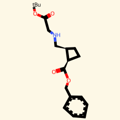 CC(C)(C)OC(=O)CNC[C@H]1CC[C@H]1C(=O)OCc1ccccc1